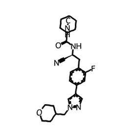 N#C[C@H](Cc1ccc(-c2cnn(CC3CCOCC3)c2)cc1F)NC(=O)C12CCC(CC1)CN2